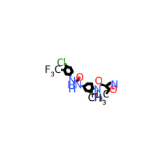 Cc1cc(NC(=O)Nc2ccc(Cl)c(C(F)(F)F)c2)ccc1NC(=O)c1cnoc1C